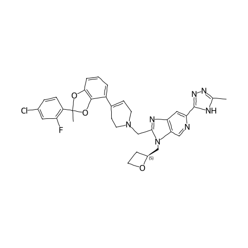 Cc1nnc(-c2cc3nc(CN4CC=C(c5cccc6c5OC(C)(c5ccc(Cl)cc5F)O6)CC4)n(C[C@@H]4CCO4)c3cn2)[nH]1